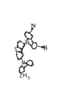 Cc1ccc2c(c1)c1ccccc1n2-c1ccc2sc3ccc(-n4c5ccc(C#N)cc5c5cc(C#N)ccc54)cc3c2c1